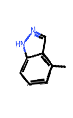 Cc1c[c]cc2[nH]ncc12